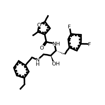 CCc1cccc(CNC[C@H](O)[C@@H](Cc2cc(F)cc(F)c2)NC(=O)c2cc(C)oc2C)c1